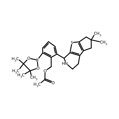 CC(=O)OCc1c(B2OC(C)(C)C(C)(C)O2)cccc1C1NCCc2c1sc1c2CC(C)(C)C1